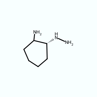 NN[C@@H]1CCCCC1N